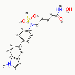 Cn1ccc2cc(-c3ccc(N(CCCCC(=O)NO)S(C)(=O)=O)cc3)ccc21